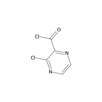 O=C(Cl)c1nccnc1Cl